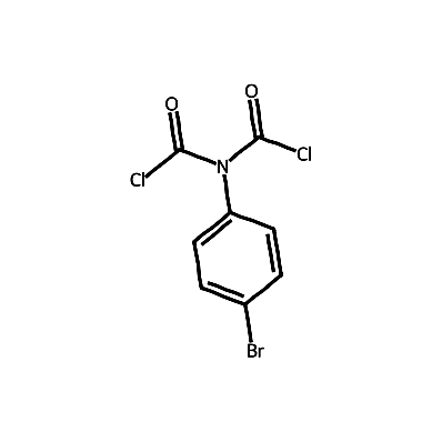 O=C(Cl)N(C(=O)Cl)c1ccc(Br)cc1